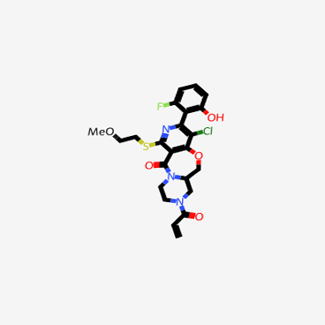 C=CC(=O)N1CCN2C(=O)c3c(SCCOC)nc(-c4c(O)cccc4F)c(Cl)c3OCC2C1